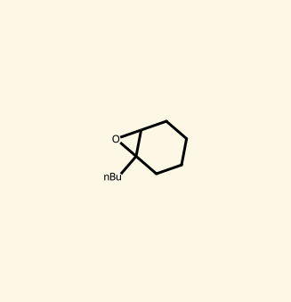 CCCCC12CCCCC1O2